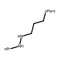 CCCCCCCCNNCCC